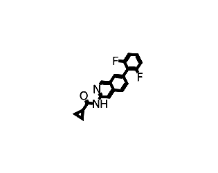 O=C(Nc1cc2ccc(-c3c(F)cccc3F)cc2cn1)C1CC1